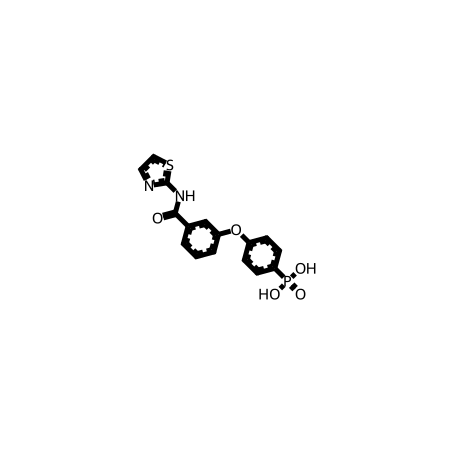 O=C(Nc1nccs1)c1cccc(Oc2ccc(P(=O)(O)O)cc2)c1